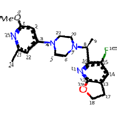 COc1cc(N2CCN([C@@H](C)c3nc4c(cc3F)CCO4)CC2)cc(C)n1